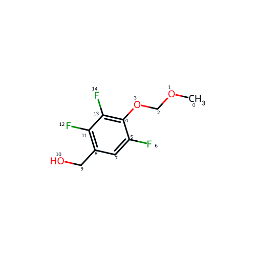 COCOc1c(F)cc(CO)c(F)c1F